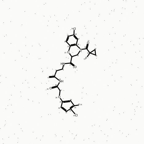 C=C(CCNC(=O)C1CN(C(=O)C2(F)CC2)c2cc(Cl)ccc2O1)NC(=O)COc1ccc(Cl)c(F)c1